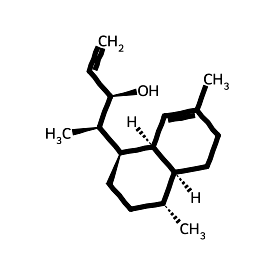 C=C[C@@H](O)[C@H](C)[C@@H]1CC[C@@H](C)[C@@H]2CCC(C)=C[C@@H]21